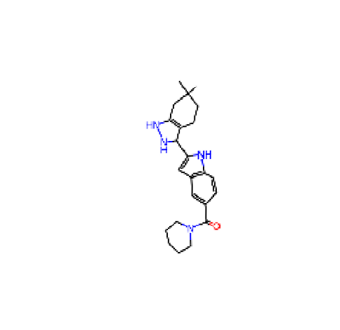 CC1(C)CCC2=C(C1)NNC2c1cc2cc(C(=O)N3CCCCC3)ccc2[nH]1